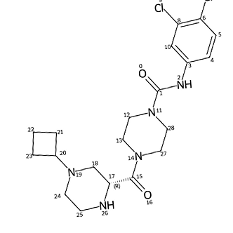 O=C(Nc1ccc(Cl)c(Cl)c1)N1CCN(C(=O)[C@H]2CN(C3CCC3)CCN2)CC1